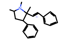 CC1CC(c2ccccc2)C(C)(/C=C/c2ccccc2)N1C